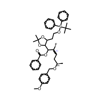 COc1ccc(CO[C@H](C)C/C=C(/F)C(OC(=O)c2ccccc2)C2OC(C)(C)OC2CCO[Si](c2ccccc2)(c2ccccc2)C(C)(C)C)cc1